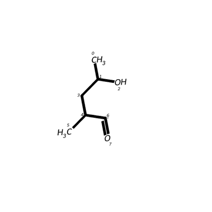 CC(O)CC(C)[C]=O